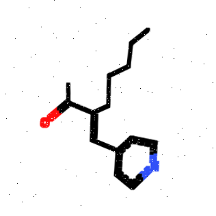 CCCCC/C(=C\c1ccncc1)C(C)=O